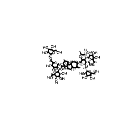 C=C1C[C@@]2(C)CC[C@H]3[C@@](C)(CCC[C@@]3(C)C(=O)O[C@@H]3OC(COC[C@@H]4OC(CO)[C@@H](O)C(O)[C@@H]4O)[C@@H](O)C(O)[C@@H]3OC3OC(CO)[C@@H](O)[C@@H](O)[C@@H]3O)[C@@H]2CC[C@@]1(C)OCC(OC(C)CO)[C@@H](OC1OC(CO)[C@@H](O)[C@@H](O)[C@@H]1O)[C@@H](CO)COC[C@@H]1OC(CO)[C@@H](O)C(O)[C@@H]1O